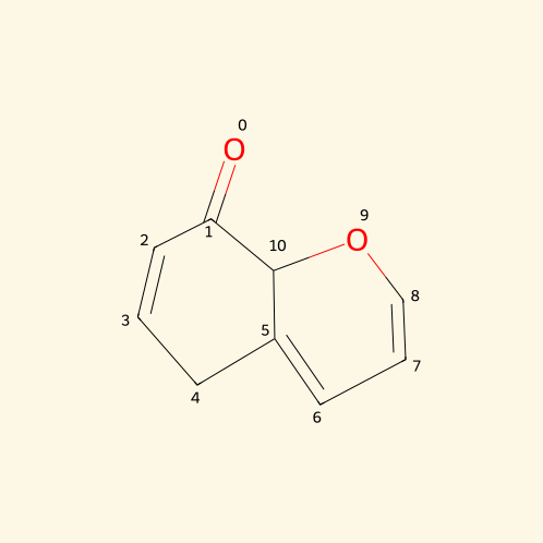 O=C1C=CCC2=CC=COC12